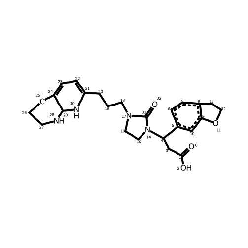 O=C(O)CC(c1ccc2c(c1)OCC2)N1CCN(CCCC2=CC=C3CCCNC3N2)C1=O